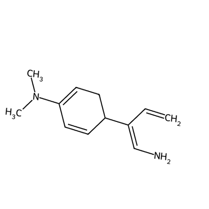 C=C/C(=C\N)C1C=CC(N(C)C)=CC1